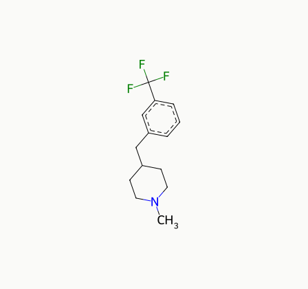 CN1CCC(Cc2cccc(C(F)(F)F)c2)CC1